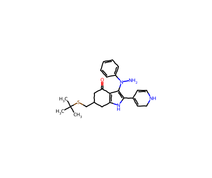 CC(C)(C)SCC1CC(=O)c2c([nH]c(C3=CCNC=C3)c2N(N)c2ccccc2)C1